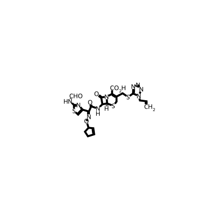 C=CCn1nnnc1SCC1=C(C(=O)O)N2C(=O)C(NC(=O)C(=NOC3C=CCC3)c3csc(NC=O)n3)[C@@H]2SC1